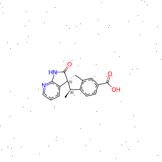 C[C@@H]1c2ccc(C(=O)O)cc2C[C@]12C(=O)Nc1ncccc12